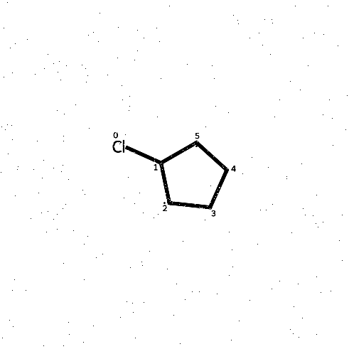 ClC1[CH]CC[CH]1